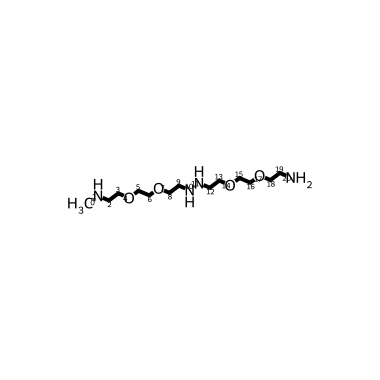 CNCCOCCOCCNNCCOCCOCCN